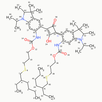 CCCCC(CC)CSCCCOC(=O)Nc1cc2c(cc1C1=C(O)/C(=c3/cc4c(cc3NC(=O)OCCCSCC(CC)CCCC)=[N+](C(C)C)C(C)C4(C)C)C1=O)C(C)(C)C(C)N2C(C)C